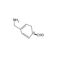 NCC1=CC[C@@H](C=O)C=C1